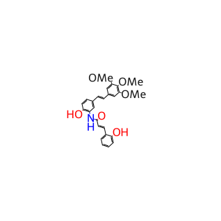 COc1cc(/C=C/c2ccc(O)c(NC(=O)/C=C/c3ccccc3O)c2)cc(OC)c1OC